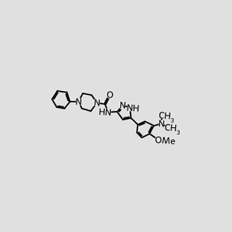 COc1ccc(-c2cc(NC(=O)N3CCN(c4ccccc4)CC3)n[nH]2)cc1N(C)C